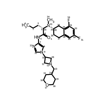 CCC[C@@H](C(=O)Nc1cn(C2CN(CC3CCOCC3)C2)cn1)N(C)[C@H]1CCc2cc(F)cc(F)c2C1